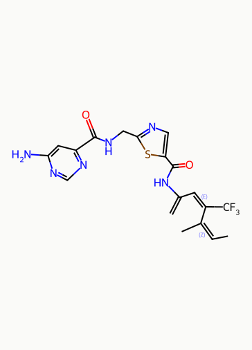 C=C(/C=C(\C(C)=C/C)C(F)(F)F)NC(=O)c1cnc(CNC(=O)c2cc(N)ncn2)s1